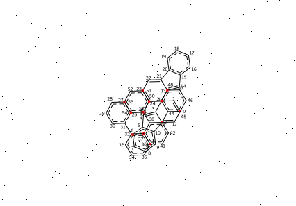 C1=CC2(C3=Cc4ccccc4C3=C1)C1=Cc3ccccc3C1=CC=C2N(c1ccccc1-c1ccccc1)c1ccccc1-c1ccccc1-c1ccccc1